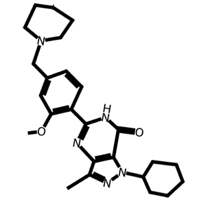 COc1cc(CN2CC[CH]CC2)ccc1-c1nc2c(C)nn(C3CCCCC3)c2c(=O)[nH]1